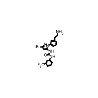 CC(C)(C)c1cc(NC(=O)Nc2cccc(C(F)(F)F)c2)n(-c2cccc(CCN)c2)n1